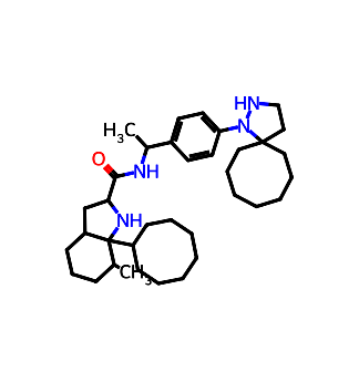 CC(NC(=O)C1CC2CCCC(C)C2(C2CCCCCCC2)N1)c1ccc(N2NCCC23CCCCCCC3)cc1